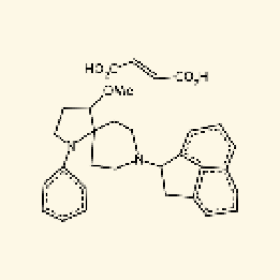 COC1CCN(c2ccccc2)C12CCN(C1Cc3cccc4cccc1c34)CC2.O=C(O)C=CC(=O)O